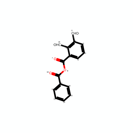 O=[C]c1cccc(C(=O)OC(=O)c2ccccc2)c1[C]=O